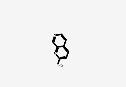 O=[C]c1ccc2ccncc2n1